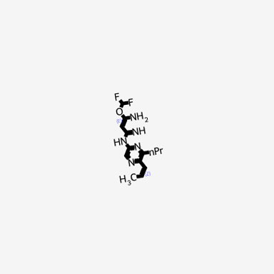 C/C=C\c1ncc(NC(=N)/C=C(\N)OC(F)F)nc1CCC